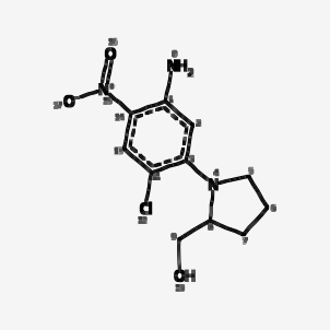 Nc1cc(N2CCCC2CO)c(Cl)cc1[N+](=O)[O-]